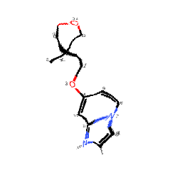 CC1(COc2ccn3ccnc3c2)COC1